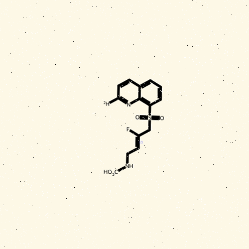 [2H]c1ccc2cccc(S(=O)(=O)C/C(F)=C/CNC(=O)O)c2n1